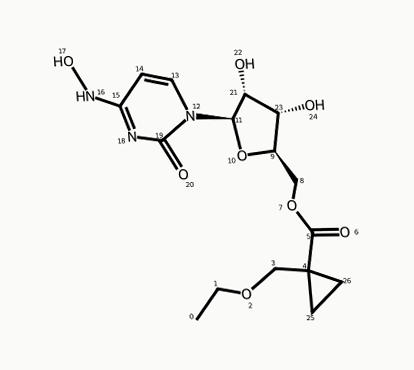 CCOCC1(C(=O)OC[C@H]2O[C@@H](n3ccc(NO)nc3=O)[C@H](O)[C@@H]2O)CC1